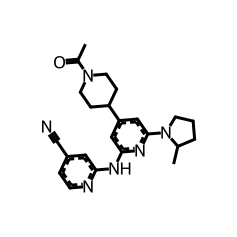 CC(=O)N1CCC(c2cc(Nc3cc(C#N)ccn3)nc(N3CCCC3C)c2)CC1